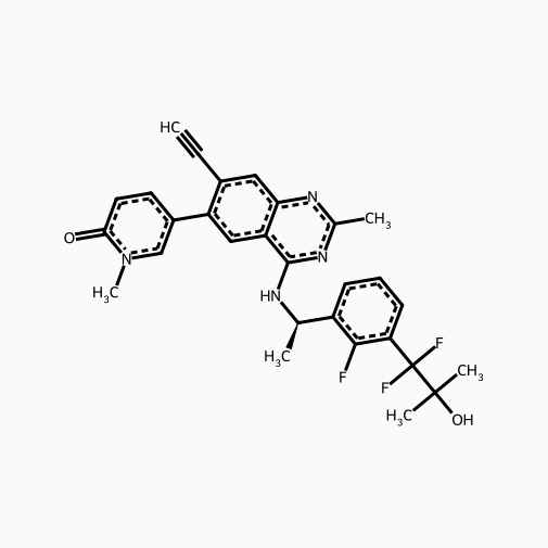 C#Cc1cc2nc(C)nc(N[C@H](C)c3cccc(C(F)(F)C(C)(C)O)c3F)c2cc1-c1ccc(=O)n(C)c1